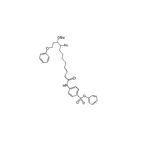 COC(CCOc1ccccc1)C(CCCCCCCC(=O)Nc1ccc(S(=O)(=O)Oc2ccccc2)cc1)C(C)=O